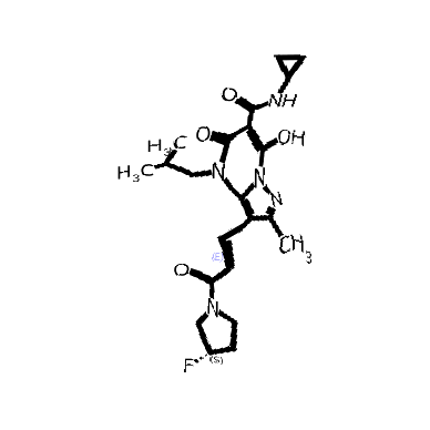 Cc1nn2c(O)c(C(=O)NC3CC3)c(=O)n(CC(C)C)c2c1/C=C/C(=O)N1CC[C@H](F)C1